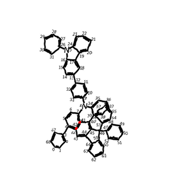 c1ccc(-c2ccc(N(c3ccc(-c4ccc5c(c4)c4ccccc4n5-c4ccccc4)cc3)c3ccccc3-c3cccc4c3C(c3ccccc3)(c3ccccc3)c3ccccc3-4)cc2)cc1